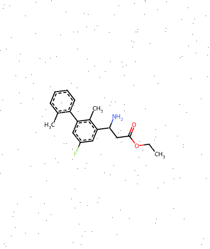 CCOC(=O)CC(N)c1cc(F)cc(-c2ccccc2C)c1C